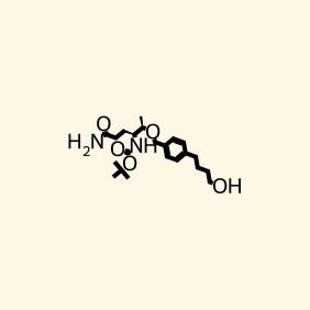 C[C@@H](OCc1ccc(CCCCO)cc1)[C@H](CCC(N)=O)NC(=O)OC(C)(C)C